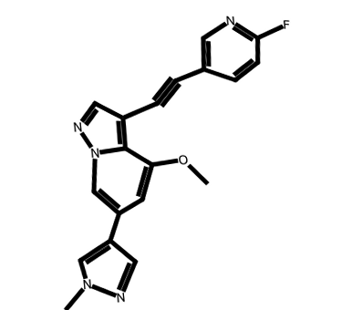 COc1cc(-c2cnn(C)c2)cn2ncc(C#Cc3ccc(F)nc3)c12